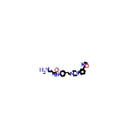 NCCCC(=O)N[C@H]1CC[C@H](CCN2CCN(c3cccc(-c4ncco4)c3)CC2)CC1